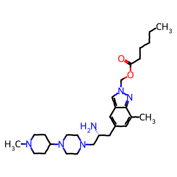 CCCCCC(=O)OCn1cc2cc(C[C@@H](N)CN3CCN(C4CCN(C)CC4)CC3)cc(C)c2n1